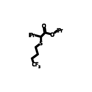 CC(C)OC(=O)C(SCCCC(F)(F)F)C(C)C